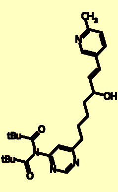 Cc1ccc(C=CC(O)CCCCc2cc(N(C(=O)C(C)(C)C)C(=O)C(C)(C)C)ncn2)cn1